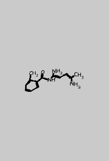 C/C(N)=C/C=C(\N)NC(=O)c1ccccc1C